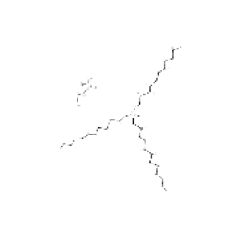 CCCCCCCCCCCC[N+](C)(CCCCCCCCCCCC)CCCCCCCCCCCC.CCCS(=O)(=O)[O-]